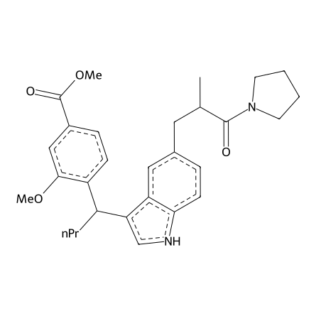 CCCC(c1ccc(C(=O)OC)cc1OC)c1c[nH]c2ccc(CC(C)C(=O)N3CCCC3)cc12